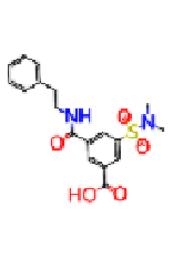 CN(C)S(=O)(=O)c1cc(C(=O)O)cc(C(=O)NCCc2ccccc2)c1